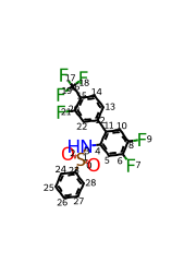 O=S(=O)(Nc1cc(F)c(F)cc1-c1ccc(C(F)(F)F)c(F)c1)c1ccccc1